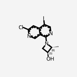 C[C@@H]1[C@@H](O)CN1c1ncc(I)c2cc(Cl)ncc12